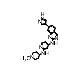 CN1CCC(Nc2cc(Nc3ncc4ccc(-c5cn[nH]c5)cc4n3)ccn2)CC1